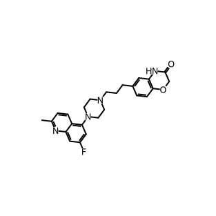 Cc1ccc2c(N3CCN(CCCc4ccc5c(c4)NC(=O)CO5)CC3)cc(F)cc2n1